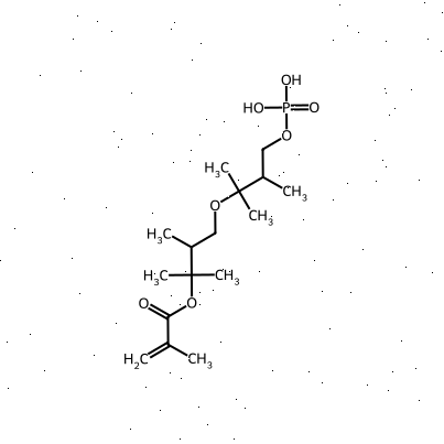 C=C(C)C(=O)OC(C)(C)C(C)COC(C)(C)C(C)COP(=O)(O)O